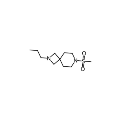 CCCN1CC2(CCN(S(C)(=O)=O)CC2)C1